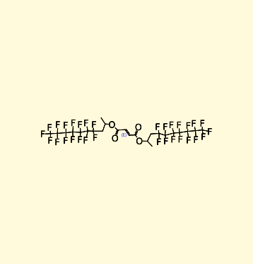 CC(CC(F)(F)C(F)(F)C(F)(F)C(F)(F)C(F)(F)C(F)(F)C(F)(F)F)OC(=O)/C=C/C(=O)OC(C)CC(F)(F)C(F)(F)C(F)(F)C(F)(F)C(F)(F)C(F)(F)C(F)(F)F